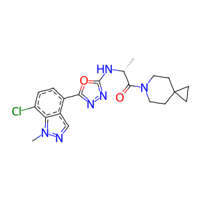 C[C@@H](Nc1nnc(-c2ccc(Cl)c3c2cnn3C)o1)C(=O)N1CCC2(CC1)CC2